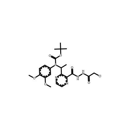 COc1ccc(N(C(=O)OC(C)(C)C)C(C)c2nccnc2C(=O)NNC(=O)CCl)cc1OC